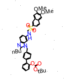 CCCCc1nc2ccc(NCS(=O)(=O)c3ccc4cc(OC)c(OC)cc4c3)cc2n1Cc1ccc(-c2ccccc2OC(=O)OC(C)(C)C)cc1